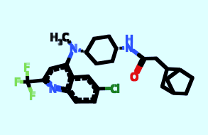 CN(c1cc(C(F)(F)F)nc2ccc(Cl)cc12)[C@H]1CC[C@@H](NC(=O)CC2CC3CCC2C3)CC1